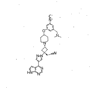 [C-]#[N+]c1cc(CN(C)C)cc(OC2CCN([C@H]3C[C@](CC#N)(n4cc(-c5ncnc6[nH]ccc56)cn4)C3)CC2)c1